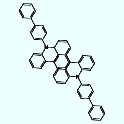 C1=CC(N(c2ccc(-c3ccccc3)cc2)c2ccccc2-c2ccc(-c3ccccc3N(c3ccccc3)c3ccc(-c4ccccc4)cc3)cc2)C2CCC=CC2=C1